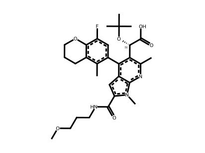 COCCCNC(=O)c1cc2c(-c3cc(F)c4c(c3C)CCCO4)c([C@H](OC(C)(C)C)C(=O)O)c(C)nc2n1C